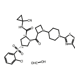 Cc1nsc(N2CCC(N3CCC3C(=O)N3C[C@H](S(=O)(=O)c4ccccc4Cl)C[C@H]3C(=O)NC3(C#N)CC3)CC2)n1.O=CO